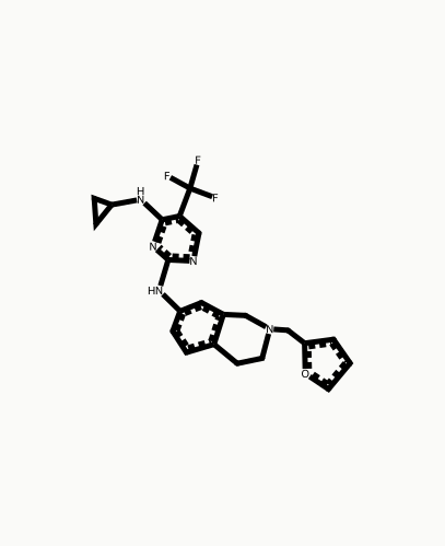 FC(F)(F)c1cnc(Nc2ccc3c(c2)CN(Cc2ccco2)CC3)nc1NC1CC1